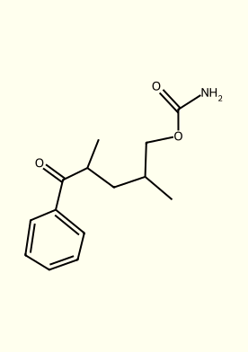 CC(COC(N)=O)CC(C)C(=O)c1ccccc1